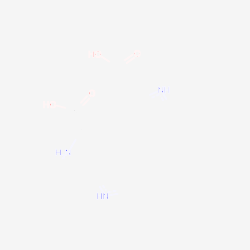 NC(Cc1c[nH]c2ccccc12)C(=O)O.O=C(O)Cc1cc2ccccc2[nH]1